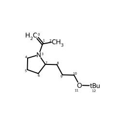 C=C(C)N1CCCC1CCCOC(C)(C)C